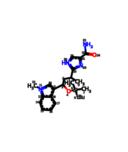 CC(CC(O[Si](C)(C)C(C)(C)C)c1cn(C)c2ccccc12)c1nc(C(N)=O)c[nH]1